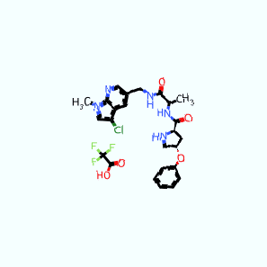 CC(NC(=O)[C@H]1C[C@H](Oc2ccccc2)CN1)C(=O)NCc1cnc2c(c1)c(Cl)cn2C.O=C(O)C(F)(F)F